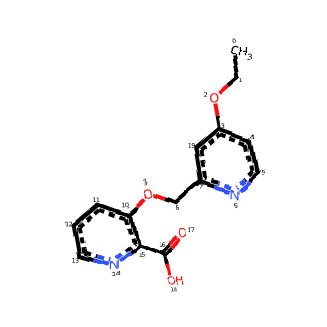 CCOc1ccnc(COc2cccnc2C(=O)O)c1